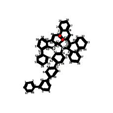 c1ccc(-c2cccc(-c3ccc(-c4ccc(N(c5c(-c6ccc7ccccc7c6)c6ccccc6c6ccccc56)c5cccc6c5oc5c(-c7ccccc7)cccc56)cc4)cc3)c2)cc1